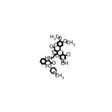 COc1ccc([C@H](Cc2c(Cl)c[n+](O)cc2Cl)c2cc(CNC(C(=O)OC3CCN(C)CC3)c3ccccc3F)sc2C(=O)[O-])cc1OC